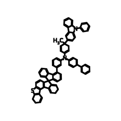 CC1(c2ccc3c(c2)c2ccccc2n3-c2ccccc2)C=CC(N(c2ccc(-c3ccccc3)cc2)c2cccc(-c3cccc4c3-c3ccccc3C43C4=CCCC=C4c4c3ccc3sc5c(c43)C=CCC5)c2)=CC1